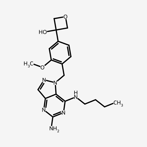 CCCCNc1nc(N)nc2cnn(Cc3ccc(C4(O)COC4)cc3OC)c12